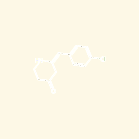 O=C1CCN/C(=C/c2ccc(Cl)cc2)C1